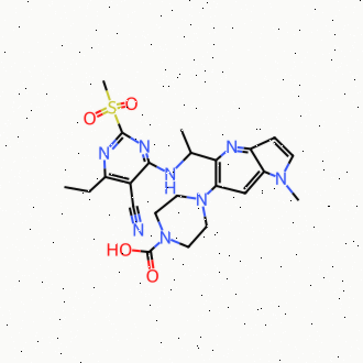 CCc1nc(S(C)(=O)=O)nc(NC(C)c2nc3ccn(C)c3cc2N2CCN(C(=O)O)CC2)c1C#N